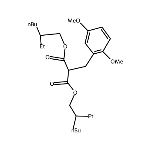 CCCCC(CC)COC(=O)C(Cc1cc(OC)ccc1OC)C(=O)OCC(CC)CCCC